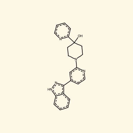 OC1(c2ccccn2)CCN(c2cc(-c3n[nH]c4ccccc34)ccn2)CC1